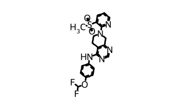 CS(=O)(=O)c1cccnc1N1CCc2c(ncnc2Nc2ccc(OC(F)F)cc2)C1